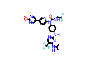 COc1ncc(-c2ccc(N(C(=O)NCC(F)F)[C@H]3CC[C@H](Nc4ncc(C(F)(F)F)c(NC(C)C)n4)CC3)nc2)cn1